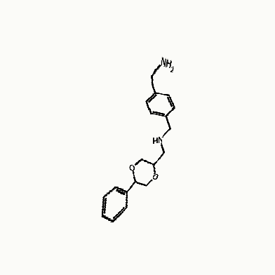 NCc1ccc(CNCC2COC(c3ccccc3)CO2)cc1